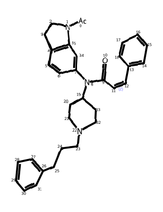 CC(=O)N1CCc2ccc(N(C(=O)/C=C\c3ccccc3)C3CCN(CCCc4ccccc4)CC3)cc21